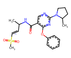 CC(/C=C/S(C)(=O)=O)NC(=O)c1cnc(N2CCCC2C)nc1Oc1ccccc1